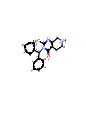 Cc1nc2c(c(=O)n1C(c1ccccc1)c1ccccc1)CCNC2